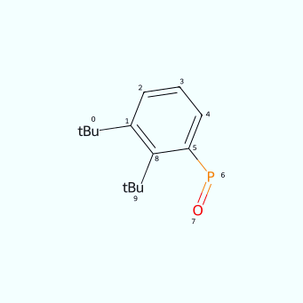 CC(C)(C)c1cccc(P=O)c1C(C)(C)C